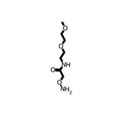 COCCOCCNC(=O)CON